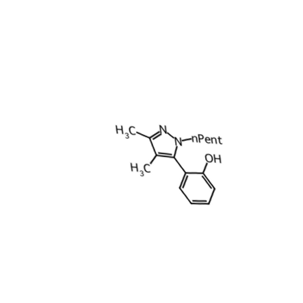 CCCCCn1nc(C)c(C)c1-c1ccccc1O